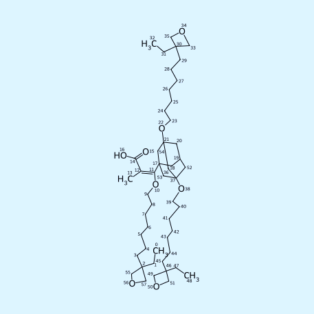 CCC1(CCCCCCCOC(=C(C)C(=O)O)C23CC4CC(OCCCCCCCC5(CC)COC5)(CC(OCCCCCCCC5(CC)COC5)(C4)C2)C3)COC1